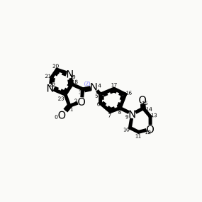 O=C1O/C(=N\c2ccc(N3CCOCC3=O)cc2)c2nccnc21